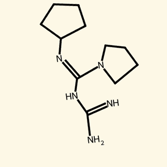 N=C(N)N/C(=N/C1CCCC1)N1CCCC1